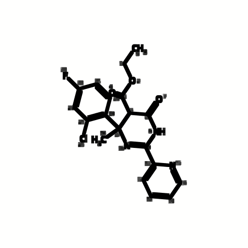 CCOC(=O)C1C(=O)NC(c2ccccn2)=NC1(C)c1ccc(F)cc1Cl